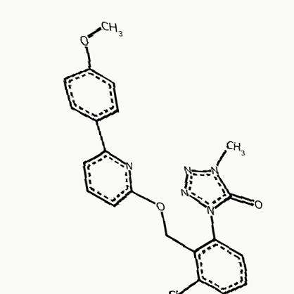 COc1ccc(-c2cccc(OCc3c(Cl)cccc3-n3nnn(C)c3=O)n2)cc1